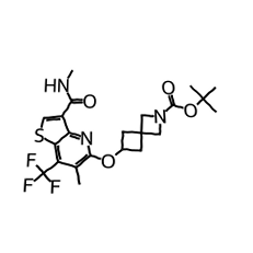 CNC(=O)c1csc2c(C(F)(F)F)c(C)c(OC3CC4(C3)CN(C(=O)OC(C)(C)C)C4)nc12